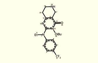 CCN(c1ccc(C(F)(F)F)cc1)c1nc2c(c(=O)n1OCC(C)C)CNCC2